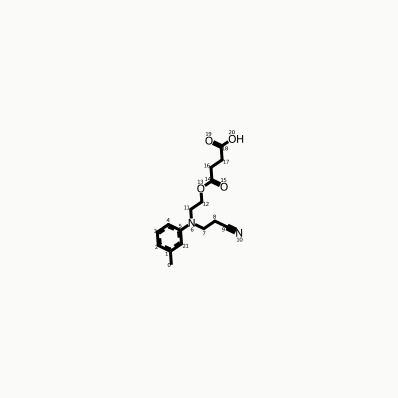 Cc1cccc(N(CCC#N)CCOC(=O)CCC(=O)O)c1